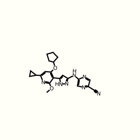 COc1nc(C2CC2)cc(OC2CCCC2)c1-c1cc(Nc2cnc(C#N)cn2)n[nH]1